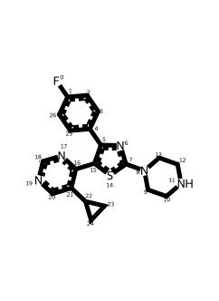 Fc1ccc(-c2nc(N3CCNCC3)sc2-c2n[c]ncc2C2CC2)cc1